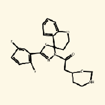 O=C(CC1CCNCC1)N1N=C(c2cc(F)ccc2F)SC12CCOc1ccccc12